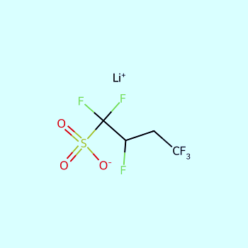 O=S(=O)([O-])C(F)(F)C(F)CC(F)(F)F.[Li+]